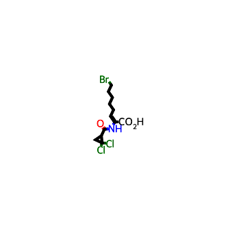 O=C(O)C(=CCCCCCBr)NC(=O)C1CC1(Cl)Cl